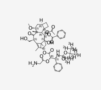 [2H]C([2H])([2H])C(OC(=O)N[C@@H](c1ccccc1)[C@@H](OC(=O)CN)C(=O)O[C@H]1C[C@@]2(O)[C@@H](OC(=O)c3ccccc3)[C@@H]3[C@]4(OC(C)=O)CC[C@@H]4C[C@H](OC)[C@@]3(C)C(=O)[C@H](CO)C(=C1C)C2(C)C)(C([2H])([2H])[2H])C([2H])([2H])[2H]